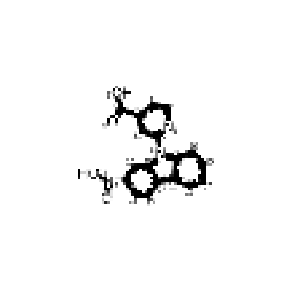 O=C(O)c1ccnc(-n2c3ccccc3c3ccccc32)c1.O=NO